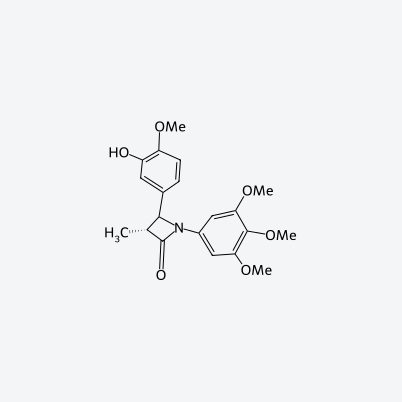 COc1ccc(C2[C@@H](C)C(=O)N2c2cc(OC)c(OC)c(OC)c2)cc1O